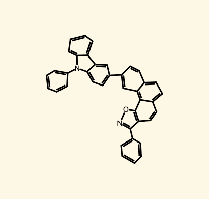 c1ccc(-c2noc3c2ccc2ccc4ccc(-c5ccc6c(c5)c5ccccc5n6-c5ccccc5)cc4c23)cc1